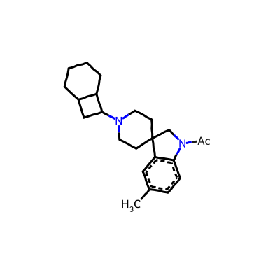 CC(=O)N1CC2(CCN(C3CC4CCCCC43)CC2)c2cc(C)ccc21